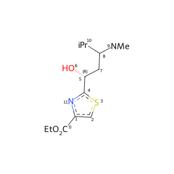 CCOC(=O)c1csc([C@H](O)CC(NC)C(C)C)n1